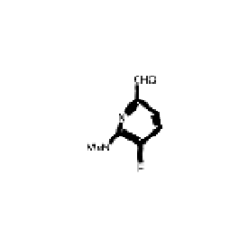 CNc1nc(C=O)ccc1F